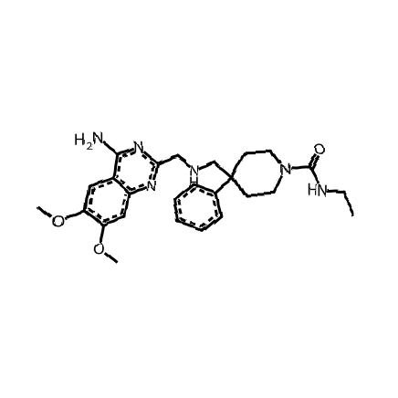 CCNC(=O)N1CCC(CNCc2nc(N)c3cc(OC)c(OC)cc3n2)(c2ccccc2)CC1